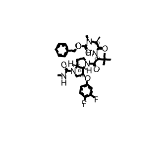 CNC(=O)N1C[C@H](Oc2ccc(F)c(F)c2)[C@@H]2[C@H]1CCN2C(=O)[C@@H](NC(=O)[C@H](C)N(C)C(=O)OCc1ccccc1)C(C)(C)C